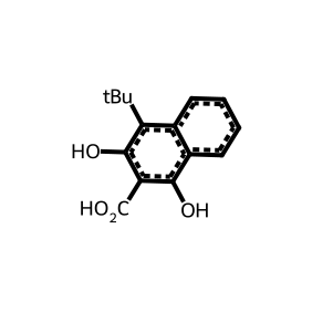 CC(C)(C)c1c(O)c(C(=O)O)c(O)c2ccccc12